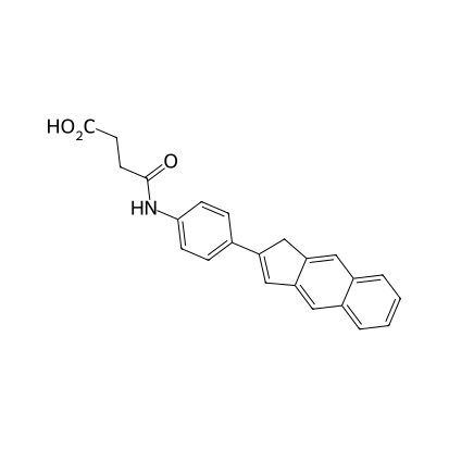 O=C(O)CCC(=O)Nc1ccc(C2=Cc3cc4ccccc4cc3C2)cc1